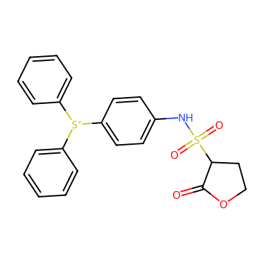 O=C1OCCC1S(=O)(=O)Nc1ccc([S+](c2ccccc2)c2ccccc2)cc1